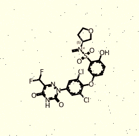 C=[N+]([C@H]1CCOC1)S(=O)(=O)c1cc(Oc2c(Cl)cc(-n3nc(C(F)F)c(=O)[nH]c3=O)cc2Cl)ccc1O